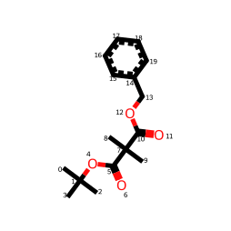 CC(C)(C)OC(=O)C(C)(C)C(=O)OCc1ccccc1